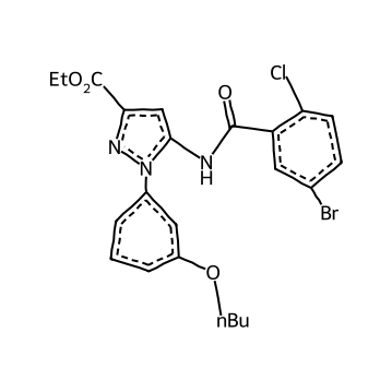 CCCCOc1cccc(-n2nc(C(=O)OCC)cc2NC(=O)c2cc(Br)ccc2Cl)c1